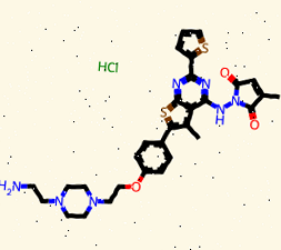 CC1=CC(=O)N(Nc2nc(-c3cccs3)nc3sc(-c4ccc(OCCN5CCN(CCN)CC5)cc4)c(C)c23)C1=O.Cl